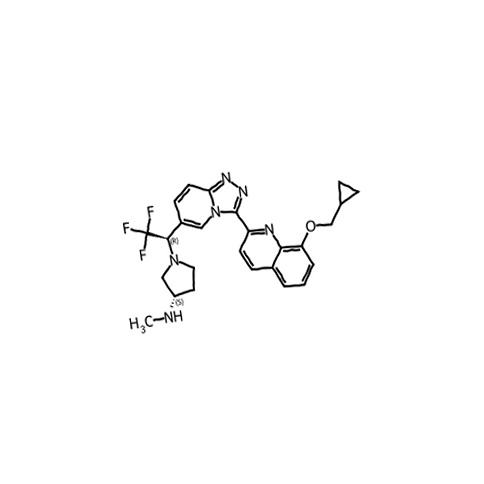 CN[C@H]1CCN([C@H](c2ccc3nnc(-c4ccc5cccc(OCC6CC6)c5n4)n3c2)C(F)(F)F)C1